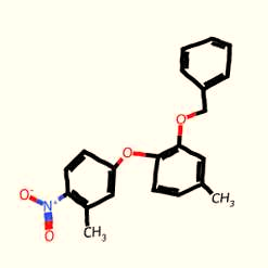 Cc1ccc(Oc2ccc([N+](=O)[O-])c(C)c2)c(OCc2ccccc2)c1